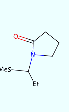 CCC(SC)N1CCCC1=O